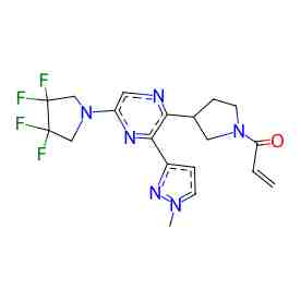 C=CC(=O)N1CCC(c2ncc(N3CC(F)(F)C(F)(F)C3)nc2-c2ccn(C)n2)C1